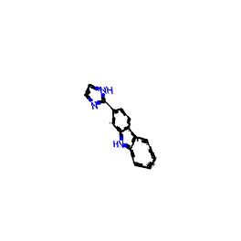 [c]1c(-c2ncc[nH]2)ccc2c1[nH]c1ccccc12